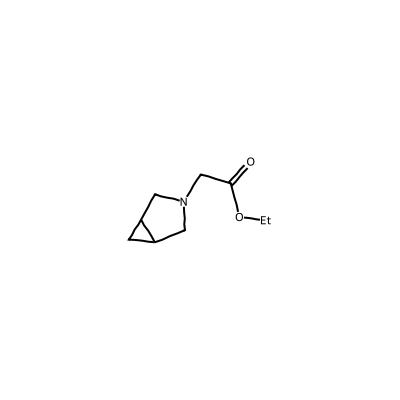 CCOC(=O)CN1CC2CC2C1